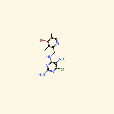 Cc1cnc(CNc2nc(N)nc(Cl)c2N)c(C)c1Br